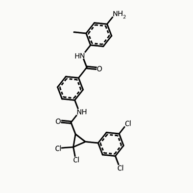 Cc1cc(N)ccc1NC(=O)c1cccc(NC(=O)C2C(c3cc(Cl)cc(Cl)c3)C2(Cl)Cl)c1